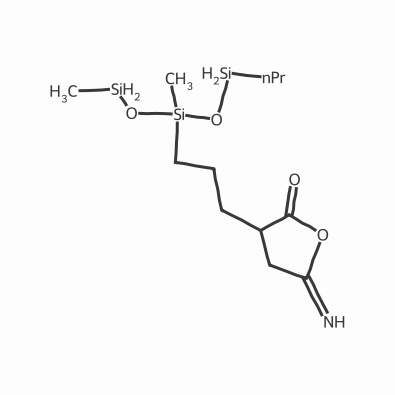 CCC[SiH2]O[Si](C)(CCCC1CC(=N)OC1=O)O[SiH2]C